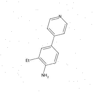 CCc1cc(-c2ccncc2)ccc1N